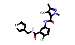 C/C=C(\C=C/CC)CNC(=O)c1cc(NC(=O)c2c(C(F)(F)F)c(C)nn2C)ccc1Cl